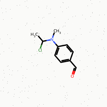 CC(Cl)N(C)c1ccc(C=O)cc1